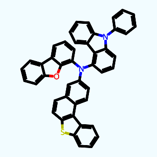 c1ccc(-n2c3ccccc3c3c(N(c4ccc5c(ccc6sc7ccccc7c65)c4)c4cccc5c4oc4ccccc45)cccc32)cc1